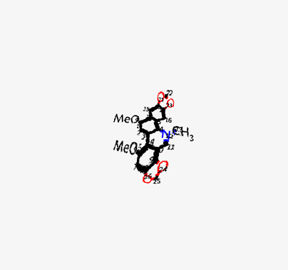 COc1cc2c3c(OC)cc4c(c3c[n+](C)c2c2cc3c(cc12)OCO3)OCO4